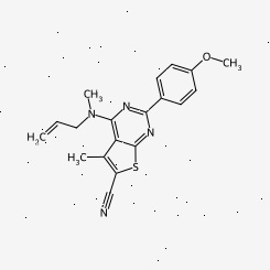 C=CCN(C)c1nc(-c2ccc(OC)cc2)nc2sc(C#N)c(C)c12